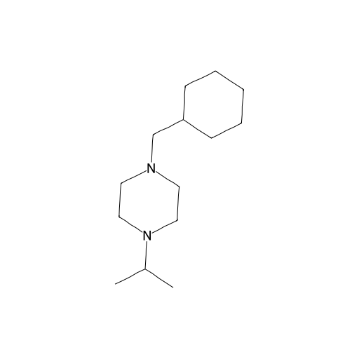 CC(C)N1CCN(CC2CCCCC2)CC1